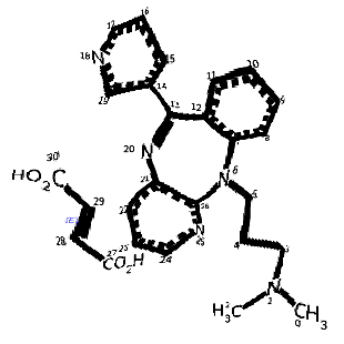 CN(C)CCCN1c2ccccc2C(c2cccnc2)=Nc2cccnc21.O=C(O)/C=C/C(=O)O